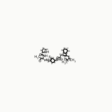 CC(=O)[C@H](CNCc1ccc(BOC(=O)Cn2cc(C[C@H](C)C(C)=O)c3ccccc32)cc1F)NC(=O)[C@@H]1CCCN1